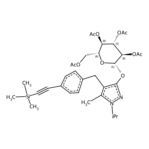 CC(=O)OC[C@H]1O[C@@H](Oc2nn(C(C)C)c(C)c2Cc2ccc(C#C[Si](C)(C)C)cc2)[C@H](OC(C)=O)[C@@H](OC(C)=O)[C@@H]1OC(C)=O